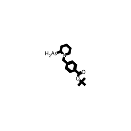 CC(C)(C)OC(=O)c1ccc(CN2CCCCC2[AsH2])cc1